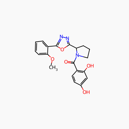 COc1ccccc1-c1nnc(C2CCCN2C(=O)c2ccc(O)cc2O)o1